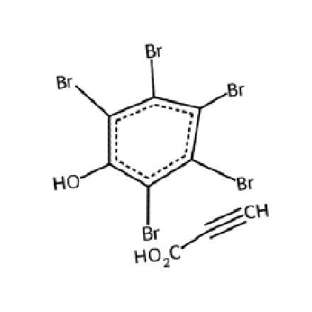 C#CC(=O)O.Oc1c(Br)c(Br)c(Br)c(Br)c1Br